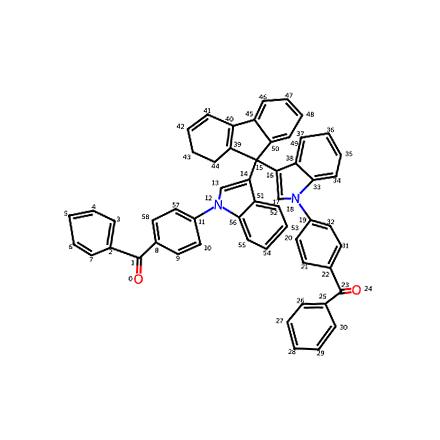 O=C(c1ccccc1)c1ccc(-n2cc(C3(c4cn(-c5ccc(C(=O)c6ccccc6)cc5)c5ccccc45)C4=C(C=CCC4)c4ccccc43)c3ccccc32)cc1